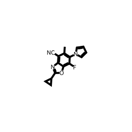 Cc1c(-n2cccc2)c(F)c2oc(C3CC3)nc2c1C#N